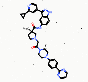 COC1(C(=O)Nc2ccc3[nH]nc(-c4ccnc(C5CC5)c4)c3c2)CCN(CC(=O)N2CCN(c3ccc(-c4ncccn4)cc3)C[C@H]2C)C1